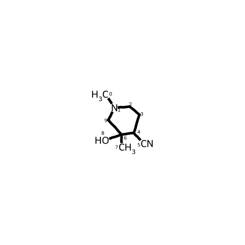 CN1CCC(C#N)C(C)(O)C1